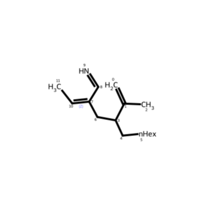 C=C(C)C(CCCCCCC)C/C(C=N)=C/C